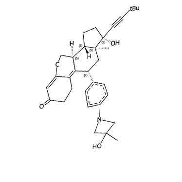 CC(C)(C)C#C[C@]1(O)CC[C@H]2[C@@H]3CCC4=CC(=O)CCC4=C3[C@@H](c3ccc(N4CC(C)(O)C4)cc3)C[C@@]21C